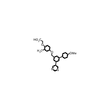 COc1ccc(-c2cc(COc3ccc(OCC(=O)O)c(C)c3)cc(-c3cncnc3)c2)cc1